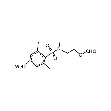 COc1cc(C)c(S(=O)(=O)N(C)CCOC=O)c(C)c1